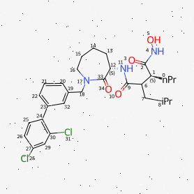 CCC[C@H](C(=O)NO)C(CC(C)C)C(=O)N[C@H]1CCCCN(Cc2cccc(-c3ccc(Cl)cc3Cl)c2)C1=O